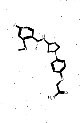 COc1cc(F)ccc1[C@@H](C)NC1CC[C@@H](c2ccc(OCC(N)=O)cc2)C1